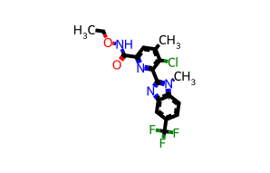 CCONC(=O)c1cc(C)c(Cl)c(-c2nc3cc(C(F)(F)F)ccc3n2C)n1